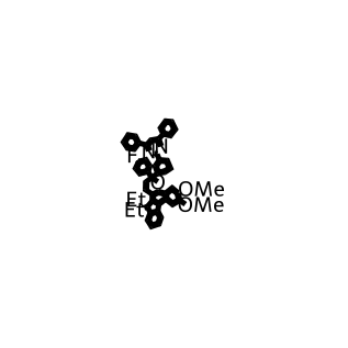 CCC1(CC)c2ccccc2-c2c1c1c(c3cc(OC)c(OC)cc23)OC(c2ccc(F)cc2)(c2cccc(-c3nc(-c4ccccc4)cc(-c4ccccc4)n3)c2)C=C1